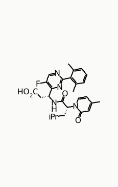 Cc1ccn([C@H](CC(C)C)C(=O)N[C@H](CC(=O)O)c2nc(-c3c(C)cccc3C)ncc2F)c(=O)c1